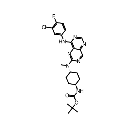 CN(c1ncc2ncnc(Nc3ccc(F)c(Cl)c3)c2n1)[C@H]1CC[C@H](NC(=O)OC(C)(C)C)CC1